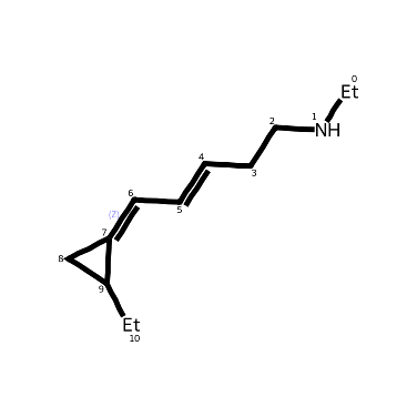 CCNCCC=C/C=C1/CC1CC